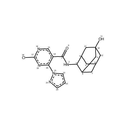 O=C(NC1C2CC3CC1CC(O)(C3)C2)c1cnc(Cl)nc1-n1cccn1